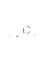 [CH2]C=C.[CH3].[c]1ccccc1